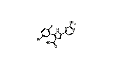 Nc1nccc(-c2cc(C(=O)O)c(-c3cc(Br)ccc3F)[nH]2)n1